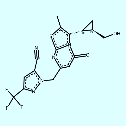 Cc1sc2nc(Cn3nc(C(F)(F)F)cc3C#N)cc(=O)n2c1[C@@H]1C[C@H]1CO